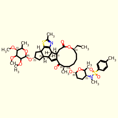 CC[C@H]1CCC[C@H](O[C@H]2CC[C@H](N(C)S(=O)(=O)c3ccc(C)cc3)C(C)O2)[C@@H](C)C(=O)C2=C[C@H]3[C@@H]4C[C@H](O[C@@H]5OC(C)[C@H](OC)C(OC)C5OC)C[C@H]4c4sc(C)nc4[C@H]3[C@@H]2CC(=O)O1